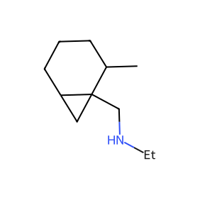 CCNCC12CC1CCCC2C